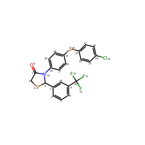 O=C1CSC(c2cccc(C(F)(F)F)c2)N1c1ccc(Sc2ccc(Cl)cc2)cc1